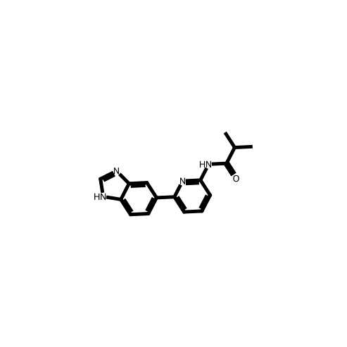 CC(C)C(=O)Nc1cccc(-c2ccc3[nH]cnc3c2)n1